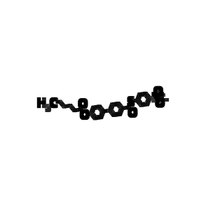 CCCCCC(=O)Oc1ccc(-c2ccc(C(=O)Sc3ccc([N+](=O)[O-])cc3)cc2)cc1